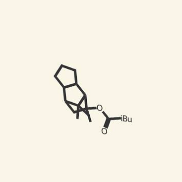 CCC(C)C(=O)OC1(C)CC2C3CCCC3C1C2(C)C